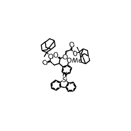 COc1ccc([SiH]2c3ccccc3-c3ccccc32)cc1C(CC(=O)OC1(C)C2CC3CC(C2)CC1C3)C(=O)OCC(=O)OC1(C)C2CC3CC(C2)CC1C3